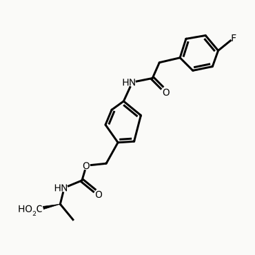 C[C@H](NC(=O)OCc1ccc(NC(=O)Cc2ccc(F)cc2)cc1)C(=O)O